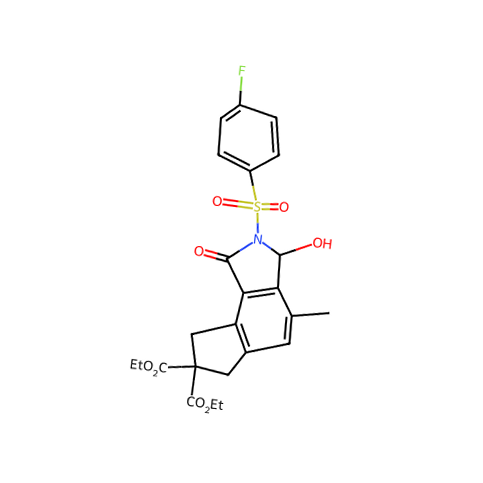 CCOC(=O)C1(C(=O)OCC)Cc2cc(C)c3c(c2C1)C(=O)N(S(=O)(=O)c1ccc(F)cc1)C3O